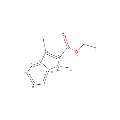 CCOC(=O)c1c(I)c2ccccc2n1C